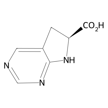 O=C(O)[C@@H]1Cc2cncnc2N1